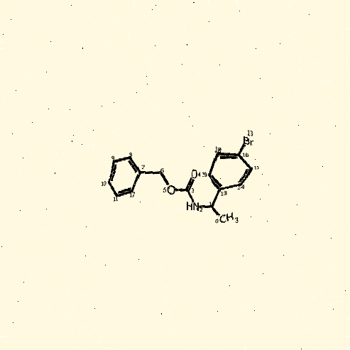 CC(NC(=O)OCc1ccccc1)c1ccc(Br)cc1